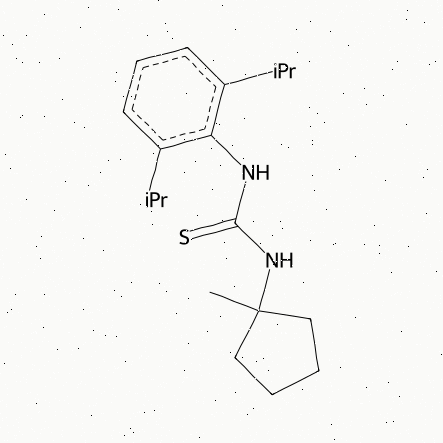 CC(C)c1cccc(C(C)C)c1NC(=S)NC1(C)CCCC1